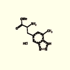 COC(=O)C(N)Cc1cc(C)c2[nH]nnc2c1.Cl